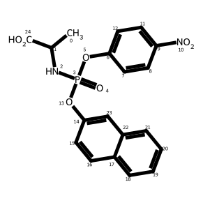 CC(NP(=O)(Oc1ccc([N+](=O)[O-])cc1)Oc1ccc2ccccc2c1)C(=O)O